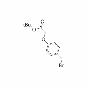 CC(C)(C)OC(=O)COc1ccc(CBr)cc1